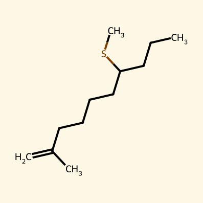 C=C(C)CCCCC(CCC)SC